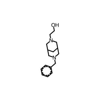 OCCN1CC2CC(C1)CN(Cc1ccccc1)C2